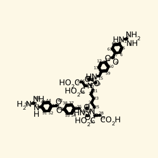 N=C(N)Nc1ccc(C(=O)Oc2ccc(CNS(=O)(=O)N(CCCCCN([C@@H](CC(=O)O)C(=O)O)S(=O)(=O)NCc3ccc(OC(=O)c4ccc(NC(=N)N)cc4)cc3)[C@@H](CC(=O)O)C(=O)O)cc2)cc1